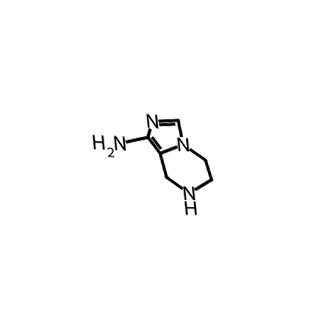 Nc1ncn2c1CNCC2